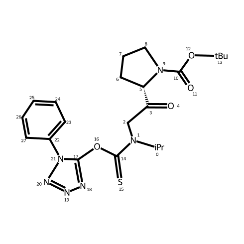 CC(C)N(CC(=O)[C@@H]1CCCN1C(=O)OC(C)(C)C)C(=S)Oc1nnnn1-c1ccccc1